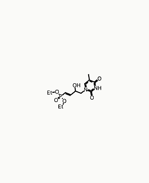 CCOP(=O)(C=CC(O)Cn1cc(C)c(=O)[nH]c1=O)OCC